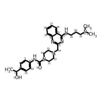 CC(O)c1ccc(NC(=O)N2CCN(Cc3nc(NCCCN(C)C)c4ccccc4n3)CC2)cc1